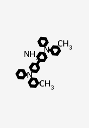 Cc1cccc(N(c2ccccc2)c2ccc(-c3ccc(N(c4ccccc4)c4cccc(C)c4)cc3)cc2)c1.N